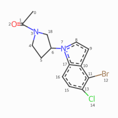 CC(=O)N1CCC(n2ccc3c(Br)c(Cl)ccc32)C1